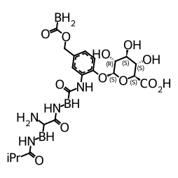 BC(=O)OCc1ccc(O[C@@H]2O[C@H](C(=O)O)[C@@H](O)[C@H](O)[C@H]2O)c(NC(=O)BNC(=O)C(N)BNC(=O)C(C)C)c1